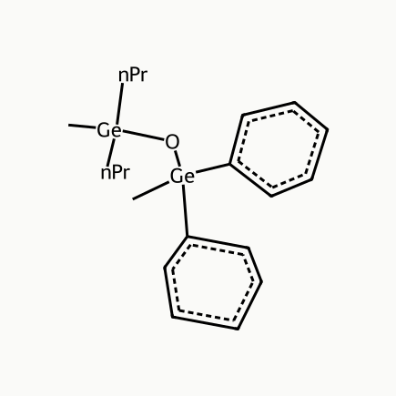 CC[CH2][Ge]([CH3])([CH2]CC)[O][Ge]([CH3])([c]1ccccc1)[c]1ccccc1